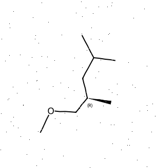 COC[C@H](C)CC(C)C